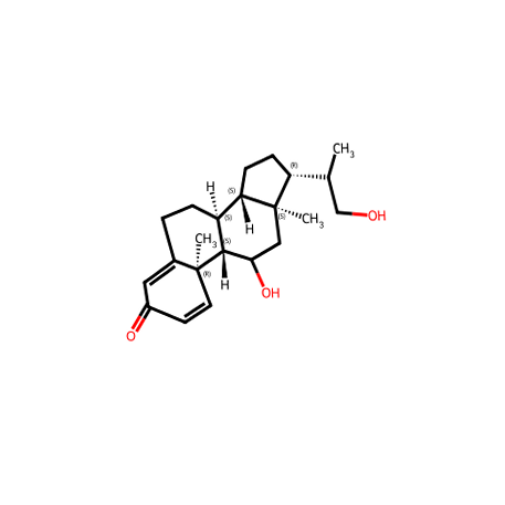 CC(CO)[C@H]1CC[C@H]2[C@@H]3CCC4=CC(=O)C=C[C@]4(C)[C@H]3C(O)C[C@]12C